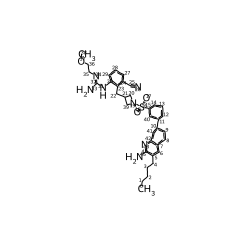 CCCCCc1cc2ccc(-c3cccc(S(=O)(=O)N4CC(Cc5c(C#N)cccc5NC(N)=NCCOC)C4)c3)cc2nc1N